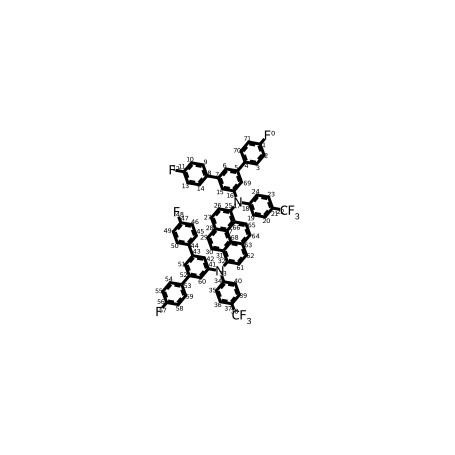 Fc1ccc(-c2cc(-c3ccc(F)cc3)cc(N(c3ccc(C(F)(F)F)cc3)c3ccc4ccc5c(N(c6ccc(C(F)(F)F)cc6)c6cc(-c7ccc(F)cc7)cc(-c7ccc(F)cc7)c6)ccc6ccc3c4c65)c2)cc1